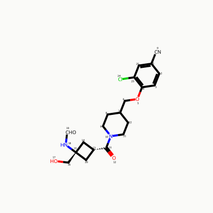 N#Cc1ccc(OCC2CCN(C(=O)[C@H]3C[C@@](CO)(NC=O)C3)CC2)c(Cl)c1